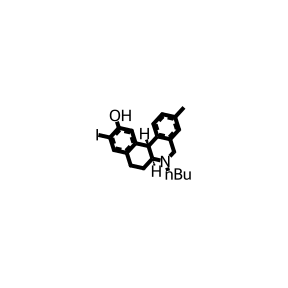 CCCCN1Cc2cc(C)ccc2[C@H]2c3cc(O)c(I)cc3CC[C@@H]21